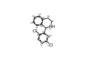 Clc1ncc(Cl)c(C2NCCc3ccccc32)n1